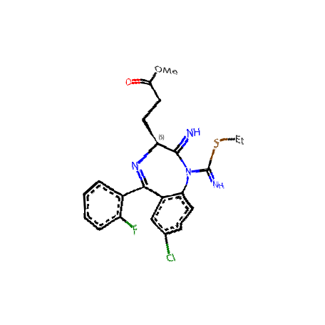 CCSC(=N)N1C(=N)[C@H](CCC(=O)OC)N=C(c2ccccc2F)c2cc(Cl)ccc21